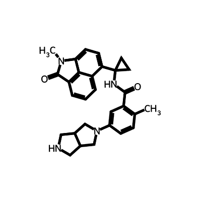 Cc1ccc(N2CC3CNCC3C2)cc1C(=O)NC1(c2ccc3c4c(cccc24)C(=O)N3C)CC1